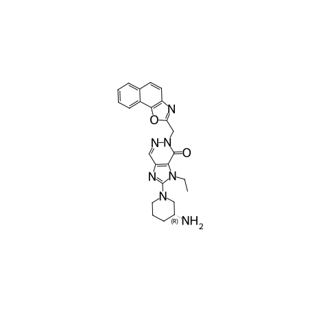 CCn1c(N2CCC[C@@H](N)C2)nc2cnn(Cc3nc4ccc5ccccc5c4o3)c(=O)c21